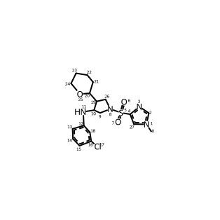 Cn1cnc(S(=O)(=O)N2CC(Nc3cccc(Cl)c3)C(C3CCCCO3)C2)c1